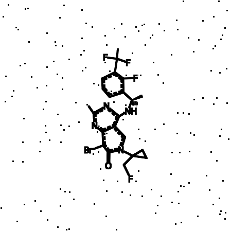 Cc1nc(N[C@H](C)c2cccc(C(C)(F)F)c2F)c2cn(C3(CF)CC3)c(=O)c(Br)c2n1